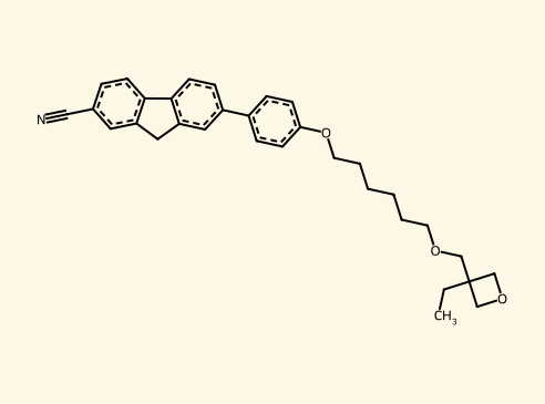 CCC1(COCCCCCCOc2ccc(-c3ccc4c(c3)Cc3cc(C#N)ccc3-4)cc2)COC1